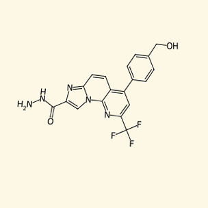 NNC(=O)c1cn2c(ccc3c(-c4ccc(CO)cc4)cc(C(F)(F)F)nc32)n1